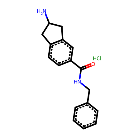 Cl.NC1Cc2ccc(C(=O)NCc3ccccc3)cc2C1